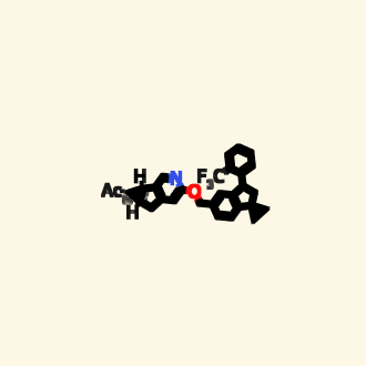 CC(=O)[C@H]1[C@@H]2Cc3cc(OCc4ccc5c(c4)C(c4ccccc4C(F)(F)F)CC54CC4)ncc3[C@@H]21